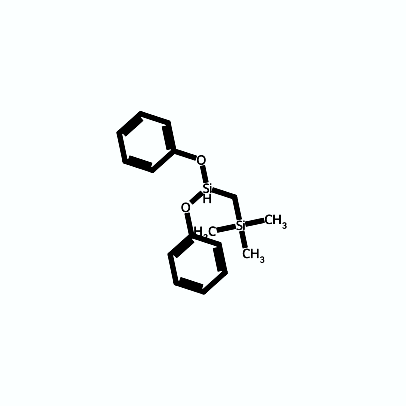 C[Si](C)(C)C[SiH](Oc1ccccc1)Oc1ccccc1